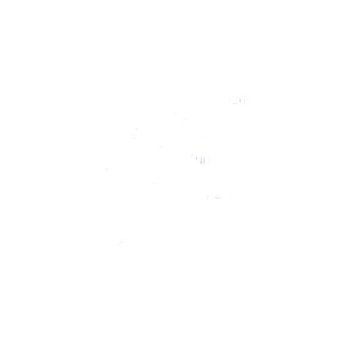 CC(C)(C)OC(=O)N[C@@](C)(CC=O)c1cc(Br)ccc1F